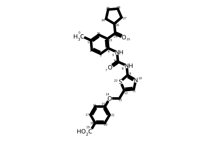 Cc1ccc(NC(=O)Nc2ncc(COc3ccc(C(=O)O)cc3)s2)c(C(=O)C2CCCC2)c1